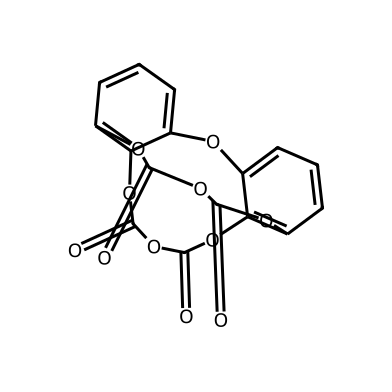 O=C1OC(=O)Oc2c3cccc2oc2cccc(oc(=O)oc(=O)o3)c2O1